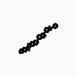 c1ccc(-c2cc3cc(-c4ccc5cc(-c6ccc7cc8c(cc7c6)sc6c7cc9ccccc9cc7sc86)ccc5c4)ccc3s2)cc1